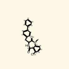 CN1C(=O)C(Cc2ccc(-c3ccccc3)cc2)NC(=O)c2c(Cl)cccc21